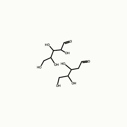 O=CC(O)C(O)C(O)CO.O=CCC(O)C(O)CO